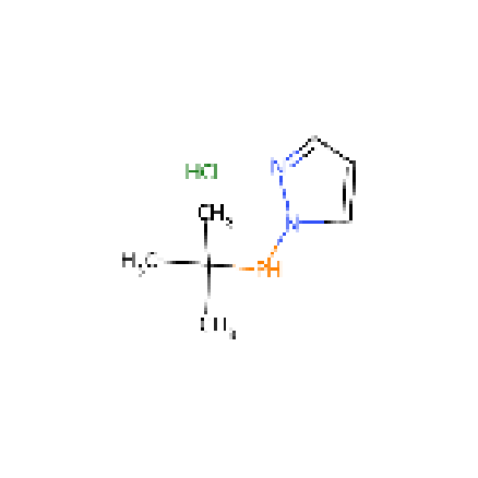 CC(C)(C)Pn1cccn1.Cl